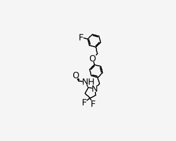 O=CN[C@@H]1CC(F)(F)CN1Cc1ccc(OCc2cccc(F)c2)cc1